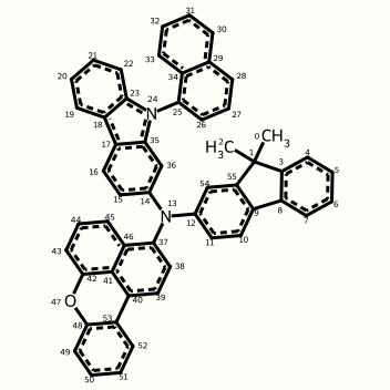 CC1(C)c2ccccc2-c2ccc(N(c3ccc4c5ccccc5n(-c5cccc6ccccc56)c4c3)c3ccc4c5c(cccc35)Oc3ccccc3-4)cc21